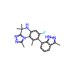 Cc1c(-c2cccc3c(C)n[nH]c23)c(F)cc2c1-n1c(C)nnc1C(C)(C)N2